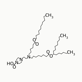 CCCCCCCCCCCOC(=O)CCCCCN(CCCCCCCC(=O)OC(CCCCCC)CCCCCCCC)CCN1CCN(C(=O)O)CC1